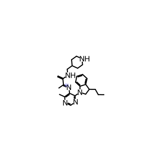 C=C(NCC1CCNCC1)/C(C)=N/c1c(C)ncnc1N1CC(CCC)c2ccccc21